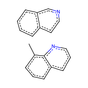 Cc1cccc2cccnc12.c1ccc2cnccc2c1